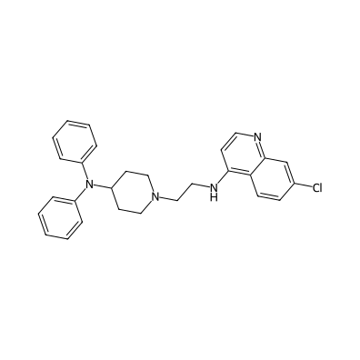 Clc1ccc2c(NCCN3CCC(N(c4ccccc4)c4ccccc4)CC3)ccnc2c1